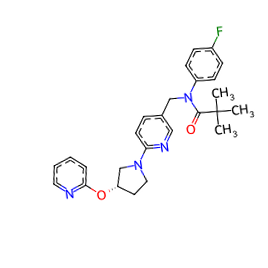 CC(C)(C)C(=O)N(Cc1ccc(N2CC[C@H](Oc3ccccn3)C2)nc1)c1ccc(F)cc1